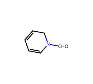 O=CN1C=CC=CC1